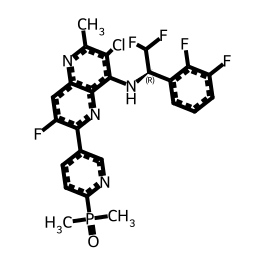 Cc1nc2cc(F)c(-c3ccc(P(C)(C)=O)nc3)nc2c(N[C@H](c2cccc(F)c2F)C(F)F)c1Cl